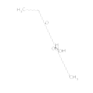 CCCCCCCC/C=C\CCCCCCCC(=O)CCCCCCCCCCCCCCC(=O)NC[C@@H](O)CCCCCCCCCCCCCCCC